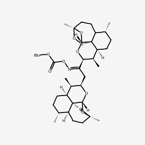 C[C@H]1[C@@H](/C(C[C@H]2O[C@@H]3O[C@]4(C)CC[C@H]5[C@H](C)CC[C@@H]([C@H]2C)[C@@]35OO4)=N\OC(=O)OC(C)(C)C)O[C@@H]2O[C@]3(C)CCC4[C@H](C)CC[C@@H]1[C@]42OO3